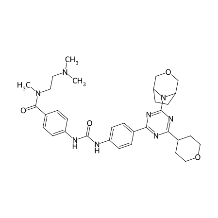 CN(C)CCN(C)C(=O)c1ccc(NC(=O)Nc2ccc(-c3nc(C4CCOCC4)nc(N4C5CCC4COC5)n3)cc2)cc1